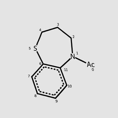 CC(=O)N1CCCSc2ccccc21